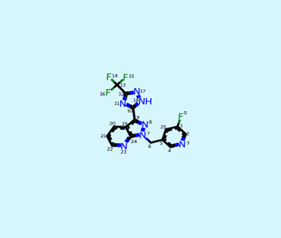 Fc1cncc(Cn2nc(-c3nc(C(F)(F)F)n[nH]3)c3cccnc32)c1